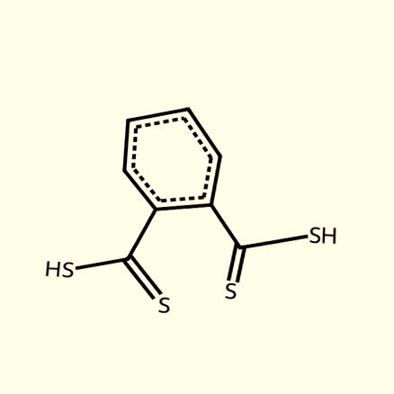 S=C(S)c1ccccc1C(=S)S